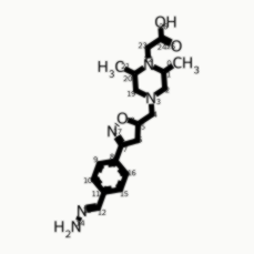 CC1CN(CC2CC(c3ccc(C=NN)cc3)=NO2)CC(C)N1CC(=O)O